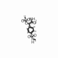 CNS(=O)(=O)c1ccc(C(OS(C)(=O)=O)C(N)=O)cc1